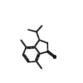 Cc1ccc(C)c2c1C(=O)CC2C(C)C